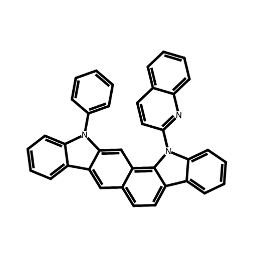 c1ccc(-n2c3ccccc3c3cc4ccc5c6ccccc6n(-c6ccc7ccccc7n6)c5c4cc32)cc1